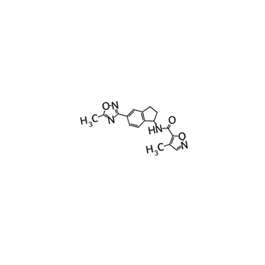 Cc1nc(-c2ccc3c(c2)CC[C@H]3NC(=O)c2oncc2C)no1